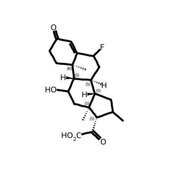 CC1C[C@H]2[C@@H]3CC(F)C4=CC(=O)CC[C@]4(C)[C@H]3C(O)C[C@]2(C)[C@H]1C(=O)C(=O)O